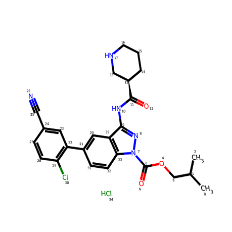 CC(C)COC(=O)n1nc(NC(=O)[C@@H]2CCCNC2)c2cc(-c3cc(C#N)ccc3Cl)ccc21.Cl